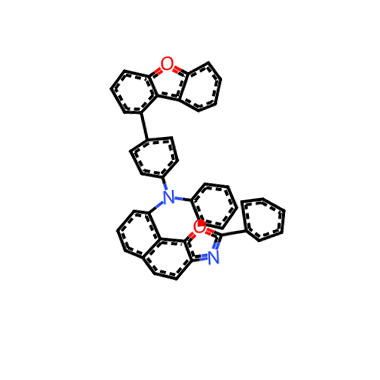 c1ccc(-c2nc3ccc4cccc(N(c5ccccc5)c5ccc(-c6cccc7oc8ccccc8c67)cc5)c4c3o2)cc1